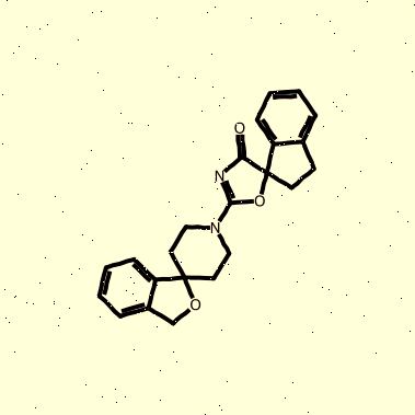 O=C1N=C(N2CCC3(CC2)OCc2ccccc23)OC12CCc1ccccc12